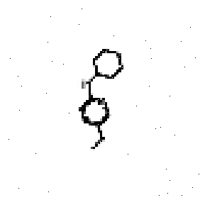 CCc1ccc(NC2CCCCC2)nc1